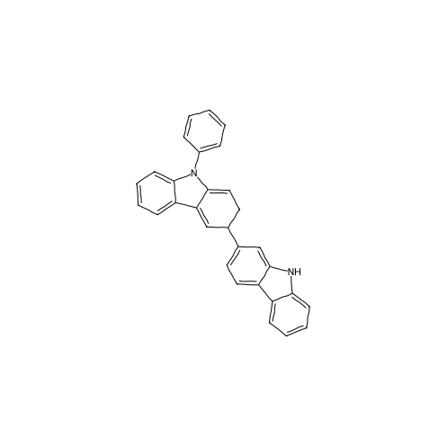 C1=c2c(n(-c3ccccc3)c3ccccc23)=CCC1c1ccc2c(c1)[nH]c1ccccc12